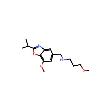 COCCCNCc1cc(OC)c2oc(C(C)C)nc2c1